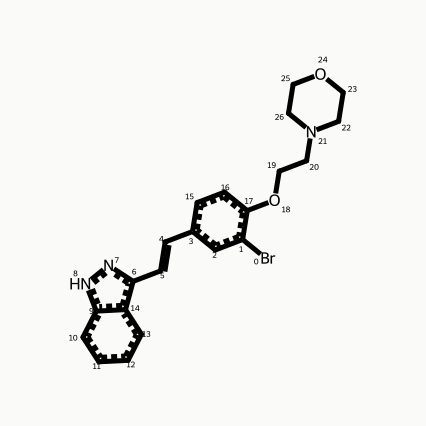 Brc1cc(C=Cc2n[nH]c3ccccc23)ccc1OCCN1CCOCC1